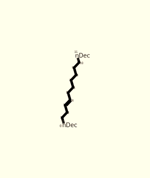 CCCCCCCCCCCC/C=C/CCCCCCCCCCCCCCCC